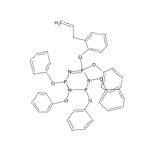 C=CCc1ccccc1OP1(Oc2ccccc2)=NP(Oc2ccccc2)N(Oc2ccccc2)P(Oc2ccccc2)N1Oc1ccccc1